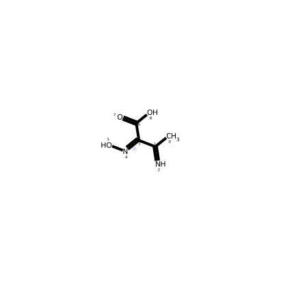 CC(=N)/C(=N/O)C(=O)O